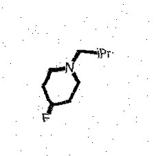 C[C](C)CN1CCC(F)CC1